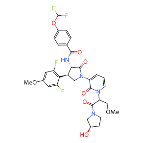 COCC(C(=O)N1CC[C@@H](O)C1)n1cccc(N2C[C@@H](c3c(F)cc(OC)cc3F)[C@H](NC(=O)c3ccc(OC(F)F)cc3)C2=O)c1=O